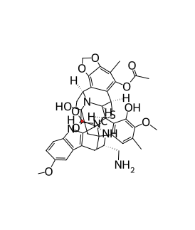 COc1ccc2[nH]c3c(c2c1)C[C@@H](CN)N[C@]31CS[C@@H]2c3c(OC(C)=O)c(C)c4c(c3[C@H](COC1=O)N1[C@@H]2[C@H]2c3c(cc(C)c(OC)c3O)C3(C)CC1(O)CN23)OCO4